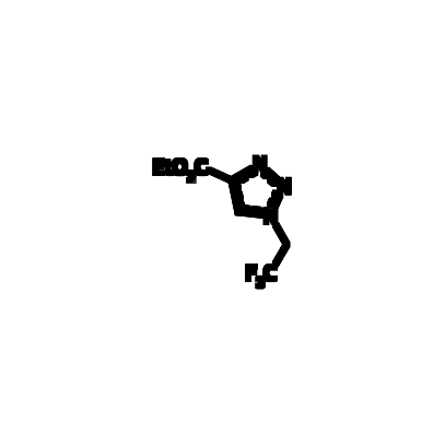 CCOC(=O)c1cn(CC(F)(F)F)nn1